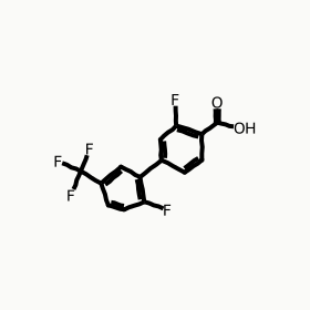 O=C(O)c1ccc(-c2cc(C(F)(F)F)ccc2F)cc1F